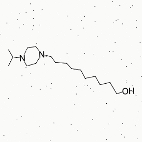 CC(C)N1CCN(CCCCCCCCCCO)CC1